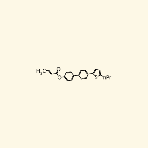 C/C=C/C(=O)Oc1ccc(-c2ccc(-c3ccc(CCC)s3)cc2)cc1